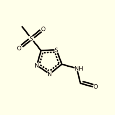 CS(=O)(=O)c1nnc(NC=O)s1